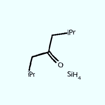 CC(C)CC(=O)CC(C)C.[SiH4]